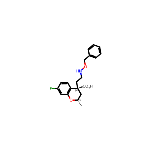 C[C@H]1C[C@](CCNOCc2ccccc2)(C(=O)O)c2ccc(F)cc2O1